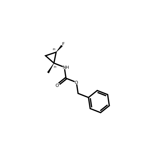 C[C@@]1(NC(=O)OCc2ccccc2)C[C@H]1F